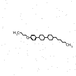 CCCCCCC1CCC(C2CCC(c3ccc(OCCCC)cc3)CC2)CC1